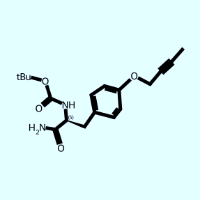 CC#CCOc1ccc(C[C@H](NC(=O)OC(C)(C)C)C(N)=O)cc1